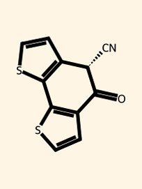 N#C[C@@H]1C(=O)c2ccsc2-c2sccc21